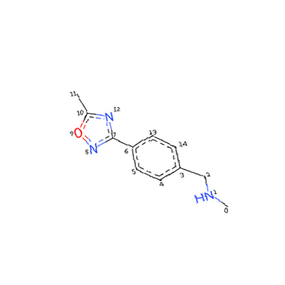 CNCc1ccc(-c2noc(C)n2)cc1